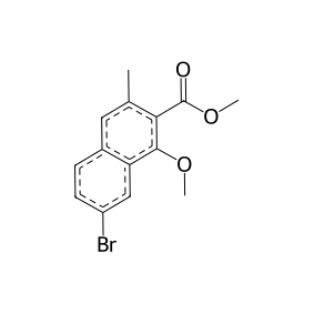 COC(=O)c1c(C)cc2ccc(Br)cc2c1OC